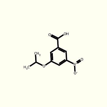 CC(C)Oc1cc(C(=O)O)cc([N+](=O)[O-])c1